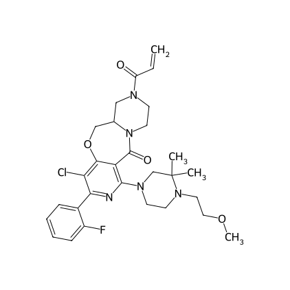 C=CC(=O)N1CCN2C(=O)c3c(N4CCN(CCOC)C(C)(C)C4)nc(-c4ccccc4F)c(Cl)c3OCC2C1